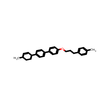 Cc1ccc(CCCOc2ccc(-c3ccc(C4C=CC(C)CC4)cc3)cc2)cc1